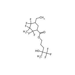 CCC1CC(C(=O)OCCCC(C)(O)C(F)(F)F)C(F)(F)C(C)(F)C1(F)F